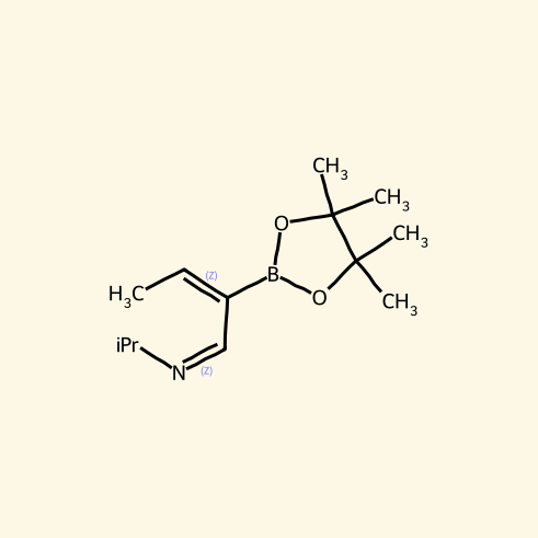 C/C=C(\C=N/C(C)C)B1OC(C)(C)C(C)(C)O1